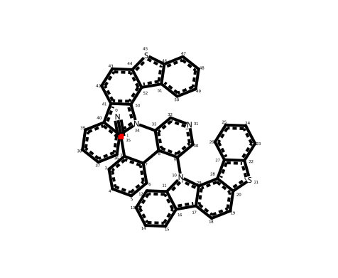 N#Cc1ccccc1-c1c(-n2c3ccccc3c3ccc4sc5ccccc5c4c32)cncc1-n1c2ccccc2c2ccc3sc4ccccc4c3c21